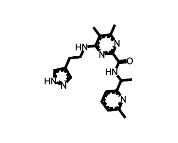 Cc1cccc(C(C)NC(=O)c2nc(C)c(C)c(NCCc3cn[nH]c3)n2)n1